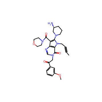 CC#CCn1c(N2CCC[C@H](N)C2)c(C(=O)N2CCOCC2)c2ncn(CC(=O)c3cccc(OC)c3)c(=O)c21